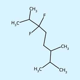 CC(C)C(C)CCC(F)(F)C(C)C